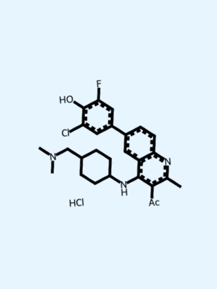 CC(=O)c1c(C)nc2ccc(-c3cc(F)c(O)c(Cl)c3)cc2c1NC1CCC(CN(C)C)CC1.Cl